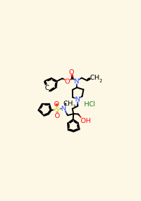 C=CCN(C(=O)OCc1ccccc1)C1CCN(CCC(CO)(CN(C)S(=O)(=O)c2ccccc2)c2ccccc2)CC1.Cl